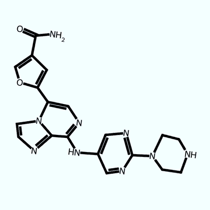 NC(=O)c1coc(-c2cnc(Nc3cnc(N4CCNCC4)nc3)c3nccn23)c1